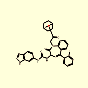 O=C(Nc1ccc2cn[nH]c2c1)NC1N=C(c2ccccc2F)c2ccccc2N(CC(=O)N2CC3CCC(CC3)C2)C1=O